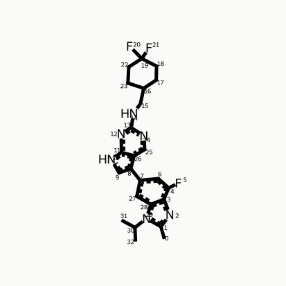 Cc1nc2c(F)cc(-c3c[nH]c4nc(NCC5CCC(F)(F)CC5)ncc34)cc2n1C(C)C